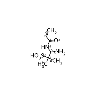 C=CC(=O)NC(N)C(C)(C)S(=O)(=O)O